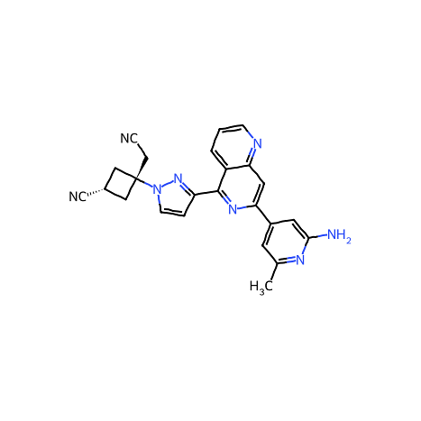 Cc1cc(-c2cc3ncccc3c(-c3ccn([C@]4(CC#N)C[C@H](C#N)C4)n3)n2)cc(N)n1